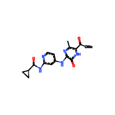 COC(=O)c1[nH]c(=O)c(Nc2ccnc(NC(=O)C3CC3)c2)nc1C